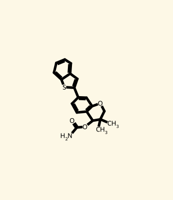 CC1(C)COc2cc(-c3cc4ccccc4s3)ccc2C1OC(N)=O